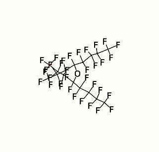 FC(F)(F)C(F)(F)C(F)(F)C(F)(F)C(F)(OC(F)(C(F)(F)C(F)(F)C(F)(F)F)C(F)(F)C(F)(F)C(F)(F)C(F)(F)F)C(F)(F)C(F)(F)C(F)(F)F